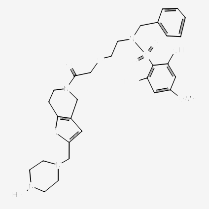 COc1cc(C)c(S(=O)(=O)N(CCOCC(=O)N2CCc3sc(CN4CCN(C)CC4)cc3C2)Cc2ccccc2)c(C)c1